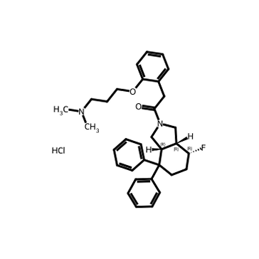 CN(C)CCCOc1ccccc1CC(=O)N1C[C@@H]2[C@H](F)CCC(c3ccccc3)(c3ccccc3)[C@@H]2C1.Cl